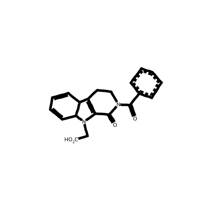 O=C(O)CN1C2=C(CCN(C(=O)c3ccccc3)C2=O)C2C=CC=CC21